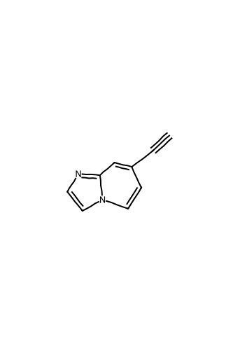 C#Cc1ccn2ccnc2c1